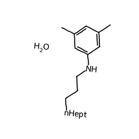 CCCCCCCCCCNc1cc(C)cc(C)c1.O